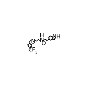 O=C(/C=C/c1ccc2[nH]ccc2c1)NCCCCN1CCc2ccc(C(F)(F)F)cc2C1